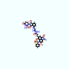 COc1ccccc1N(c1ccc2c3c(cc(CCC(=O)NCCNc4cccc5c4C(=O)N(C4CCC(=O)NC4=O)C5=O)cc13)C(=O)N2C)[SH](=O)=O